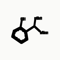 CCCCCCCCCC(CCCCCCCC)c1ccccc1O